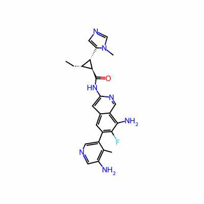 CC[C@H]1[C@H](C(=O)Nc2cc3cc(-c4cncc(N)c4C)c(F)c(N)c3cn2)[C@H]1c1cncn1C